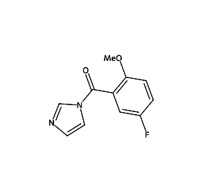 COc1ccc(F)cc1C(=O)n1ccnc1